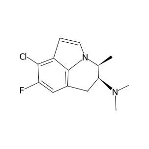 C[C@H]1[C@@H](N(C)C)Cc2cc(F)c(Cl)c3ccn1c23